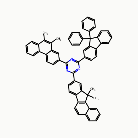 Cc1c(C)c2cc(-c3nc(-c4ccc5c(c4)C(C)(C)c4c-5ccc5ccccc45)nc(-c4ccc5c(c4)C(c4ccccc4)(c4ccccc4)c4ccccc4-5)n3)ccc2c2ccccc12